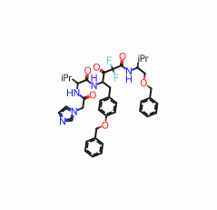 CC(C)C(COCc1ccccc1)NC(=O)C(F)(F)C(=O)C(Cc1ccc(OCc2ccccc2)cc1)NC(=O)C(NC(=O)Cn1ccnc1)C(C)C